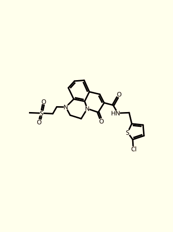 CS(=O)(=O)CCN1CCn2c(=O)c(C(=O)NCc3ccc(Cl)s3)cc3cccc1c32